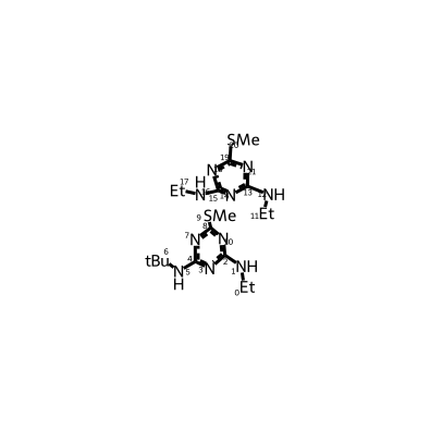 CCNc1nc(NC(C)(C)C)nc(SC)n1.CCNc1nc(NCC)nc(SC)n1